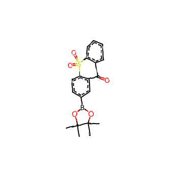 CC1(C)OB(c2ccc3c(c2)C(=O)c2ccccc2S3(=O)=O)OC1(C)C